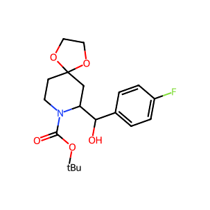 CC(C)(C)OC(=O)N1CCC2(CC1C(O)c1ccc(F)cc1)OCCO2